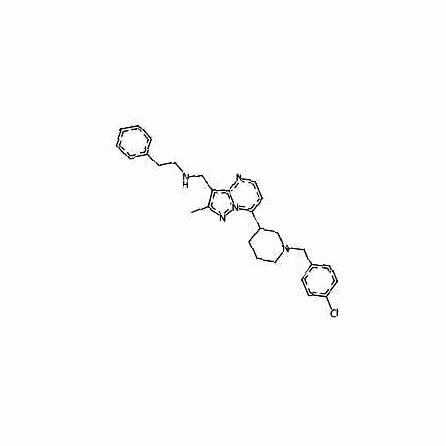 Cc1nn2c(C3CCCN(Cc4ccc(Cl)cc4)C3)ccnc2c1CNCCc1ccccc1